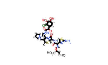 CC1=C(C[N+]2(CCNC(=O)C(=O)c3ccc(O)c(O)c3Cl)CCCC2)[C@H](C)S[C@@H]2[C@H](NC(=O)/C(=N\O[C@@H](CC=O)C(=O)O)c3csc(N)n3)C(=O)N12